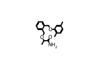 Cc1ccc(C)c(OCc2ccccc2COC(C)C(N)=O)c1